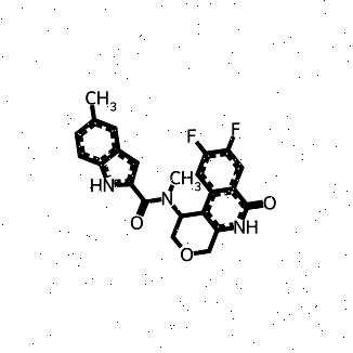 Cc1ccc2[nH]c(C(=O)N(C)C3COCc4[nH]c(=O)c5cc(F)c(F)cc5c43)cc2c1